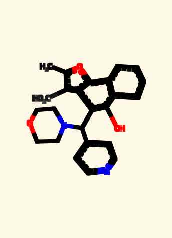 Cc1oc2c(c1C(=O)O)c(C(c1ccncc1)N1CCOCC1)c(O)c1ccccc12